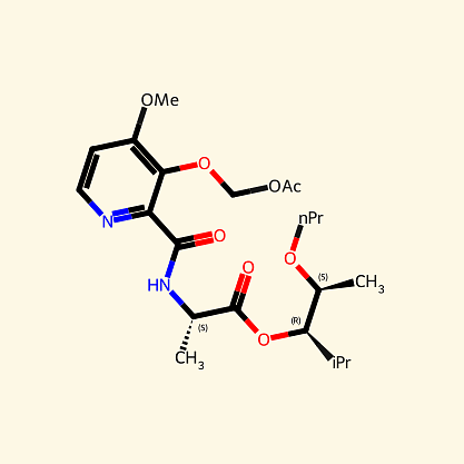 CCCO[C@@H](C)[C@H](OC(=O)[C@H](C)NC(=O)c1nccc(OC)c1OCOC(C)=O)C(C)C